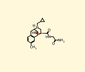 Cc1ccc2c(c1)[C@]13CCN(CC4CC4)[C@H](C2)[C@]1(O)C[C@H](C(=O)NCC(N)=O)C3